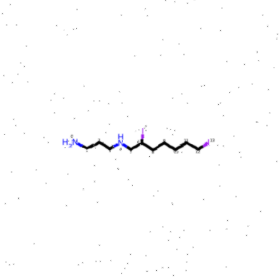 NCCCNCC(I)CCCCCI